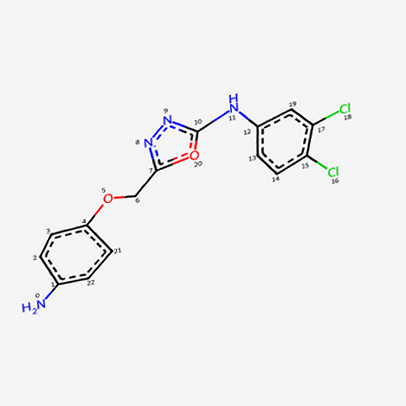 Nc1ccc(OCc2nnc(Nc3ccc(Cl)c(Cl)c3)o2)cc1